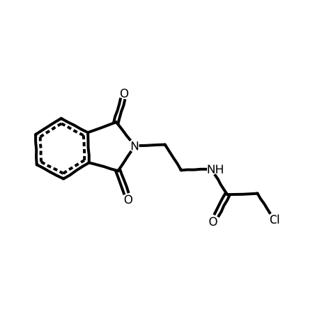 O=C(CCl)NCCN1C(=O)c2ccccc2C1=O